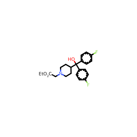 CCOC(=O)CN1CCC(C(O)(c2ccc(F)cc2)c2ccc(F)cc2)CC1